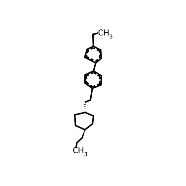 CCC[C@H]1CC[C@H](CCc2ccc(-c3ccc(CC)cc3)cc2)CC1